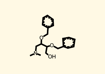 CN(C)CC(OCc1ccccc1)C(CO)OCc1ccccc1